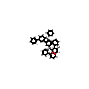 C1=CCCC(N2C3=C(CC(N(C4=CC=CCC4C4=CCCC=C4)C4=CC=CC5OC6C=CCCC6C45)C=C3)C3CC(c4ccccc4)C=CC32)=C1